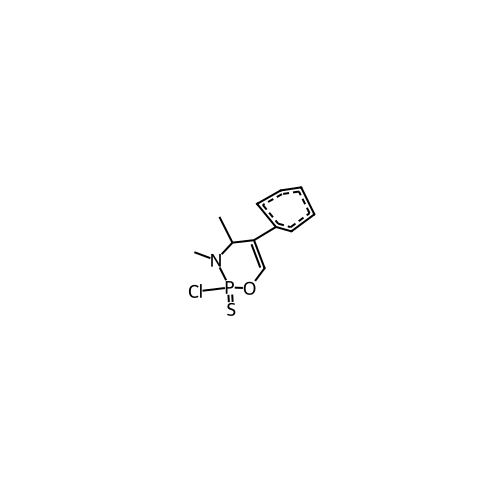 CC1C(c2ccccc2)=COP(=S)(Cl)N1C